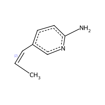 C/C=C\c1ccc(N)nc1